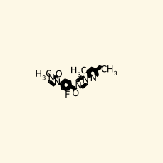 CCc1cnc(N2CCN(C(=O)c3ccc(N4CCN(C)C4=O)cc3F)CC2)c(C)c1